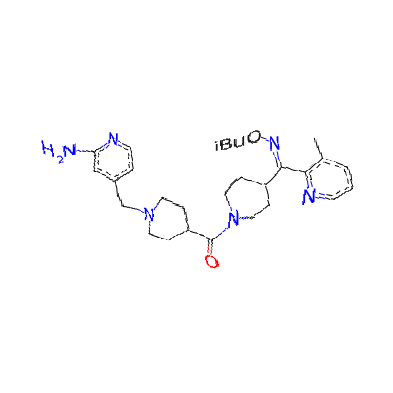 Cc1cccnc1C(=NOCC(C)C)C1CCN(C(=O)C2CCN(Cc3ccnc(N)c3)CC2)CC1